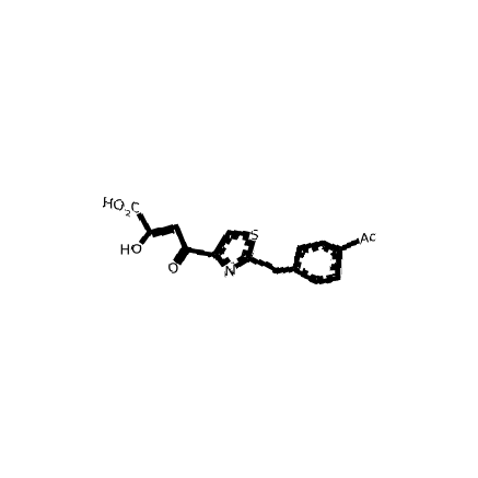 CC(=O)c1ccc(Cc2nc(C(=O)/C=C(\O)C(=O)O)cs2)cc1